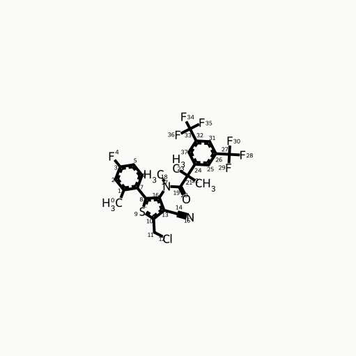 Cc1cc(F)ccc1-c1sc(CCl)c(C#N)c1N(C)C(=O)C(C)(C)c1cc(C(F)(F)F)cc(C(F)(F)F)c1